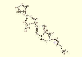 NC/C=C/c1ccn2cc(-c3ccc(-n4nccn4)cc3O)nc2n1